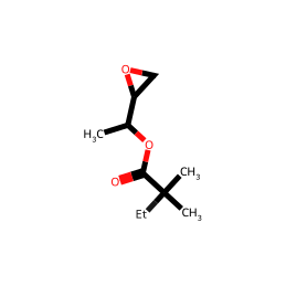 CCC(C)(C)C(=O)OC(C)C1CO1